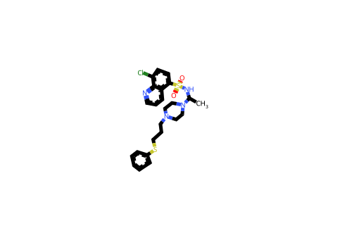 CC(NS(=O)(=O)c1ccc(Cl)c2ncccc12)N1CCN(CCCSc2ccccc2)CC1